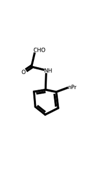 CCCc1ccccc1NC(=O)C=O